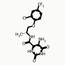 C[C@H](COc1ccc(C(F)(F)F)cc1Cl)NC(=O)c1[nH]c(=O)[nH]c(=O)c1N